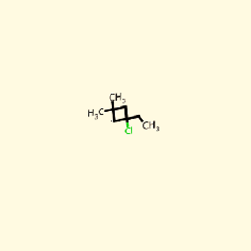 CCC1(Cl)[CH]C(C)(C)C1